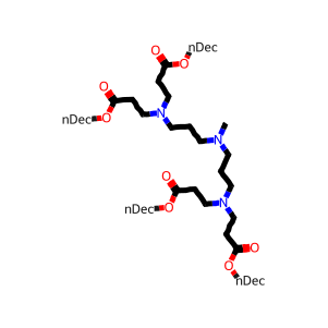 CCCCCCCCCCOC(=O)CCN(CCCN(C)CCCN(CCC(=O)OCCCCCCCCCC)CCC(=O)OCCCCCCCCCC)CCC(=O)OCCCCCCCCCC